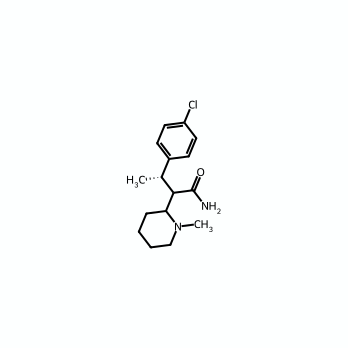 C[C@H](c1ccc(Cl)cc1)C(C(N)=O)C1CCCCN1C